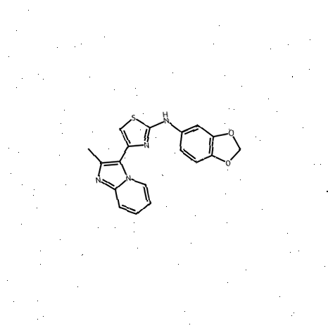 Cc1nc2ccccn2c1-c1csc(Nc2ccc3c(c2)OCO3)n1